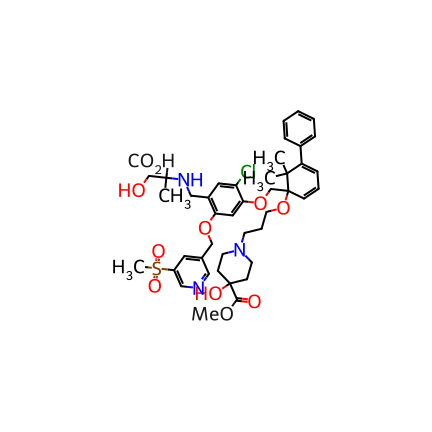 COC(=O)C1(O)CCN(CCCOC2(COc3cc(OCc4cncc(S(C)(=O)=O)c4)c(CNC(C)(CO)C(=O)O)cc3Cl)C=CC=C(c3ccccc3)C2(C)C)CC1